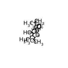 CCCC(C=C(C)C)C1=C(O)CC(CCC(C)C)(c2ccccc2)OC1=O